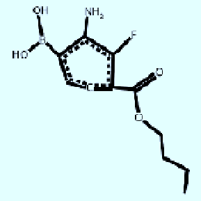 CCCCOC(=O)c1ccc(B(O)O)c(N)c1F